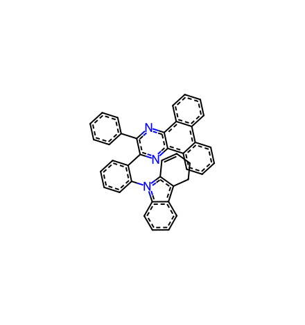 C1=Cc2c(c3ccccc3n2-c2ccccc2-c2nc3c4ccccc4c4ccccc4c3nc2-c2ccccc2)CC1